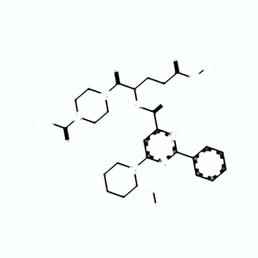 COC(=O)N1CCN(C(=O)C(CCC(=O)OC(C)(C)C)NC(=O)c2cc(N3CCCC[C@H]3CO)nc(-c3ccccc3)n2)CC1